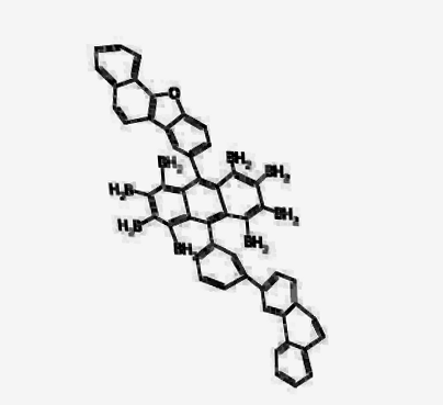 Bc1c(B)c(B)c2c(-c3ccc4oc5c6ccccc6ccc5c4c3)c3c(B)c(B)c(B)c(B)c3c(-c3cccc(-c4ccc5ccc6ccccc6c5c4)c3)c2c1B